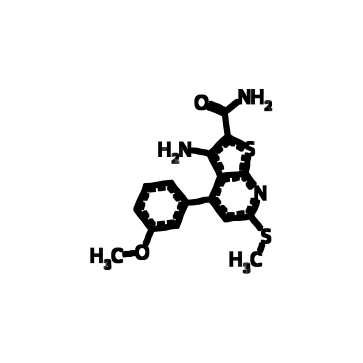 COc1cccc(-c2cc(SC)nc3sc(C(N)=O)c(N)c23)c1